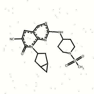 CS(=O)(=O)N1CCC(Nc2ncc3cc(C#N)c(=O)n(C4CC5CC5C4)c3n2)CC1